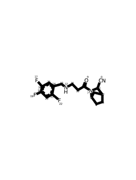 N#CC1C2CCC(C2)N1C(=O)CCNCc1cc(F)c(F)cc1F